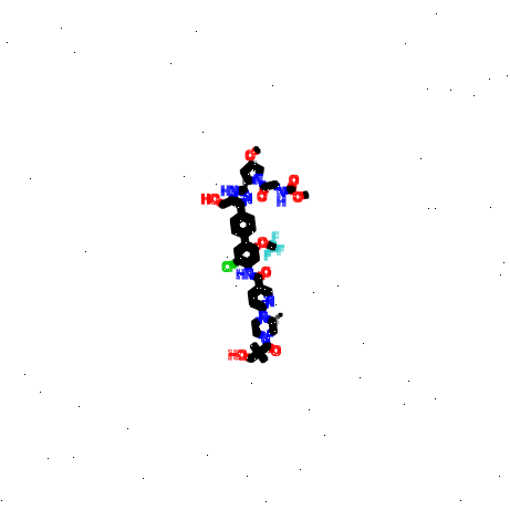 COC(=O)NCC(=O)N1C[C@@H](OC)C[C@H]1c1nc(-c2ccc(-c3cc(Cl)c(NC(=O)c4ccc(N5CCN(C(=O)C(C)(C)CO)C[C@H]5C)nc4)cc3OC(F)(F)F)cc2)c(CO)[nH]1